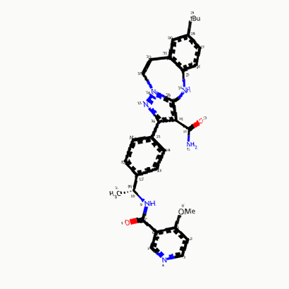 COc1ccncc1C(=O)N[C@H](C)c1ccc(-c2nn3c(c2C(N)=O)Nc2ccc(C(C)(C)C)cc2CC3)cc1